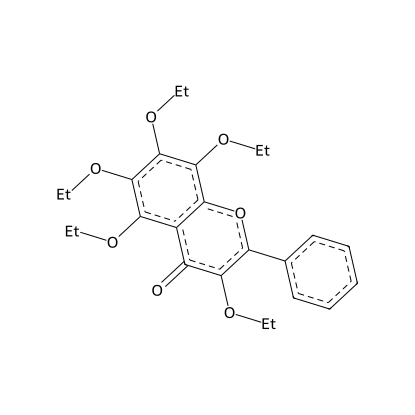 CCOc1c(OCC)c(OCC)c2c(=O)c(OCC)c(-c3ccccc3)oc2c1OCC